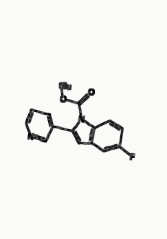 CC(C)(C)OC(=O)n1c(-c2cccnc2)cc2cc(F)ccc21